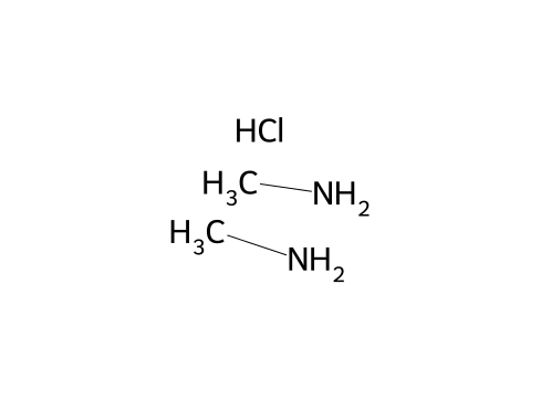 CN.CN.Cl